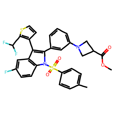 COC(=O)C1CN(c2cccc(-c3c(-c4ccsc4C(F)F)c4cc(F)ccc4n3S(=O)(=O)c3ccc(C)cc3)c2)C1